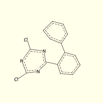 Clc1nc(Cl)nc(-c2ccccc2-c2ccccc2)n1